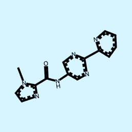 Cn1ccnc1C(=O)Nc1cnc(-c2ccccn2)nc1